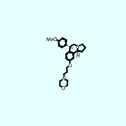 COc1ccc([C@@H]2CN3CCC[C@H]3c3cc(OCCCN4CCOCC4)ccc32)cc1